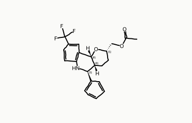 CC(=O)OC[C@@H]1CC[C@@H]2[C@@H](c3ccccc3)Nc3ccc(C(F)(F)F)cc3[C@@H]2O1